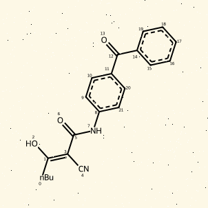 CCCC/C(O)=C(\C#N)C(=O)Nc1ccc(C(=O)c2ccccc2)cc1